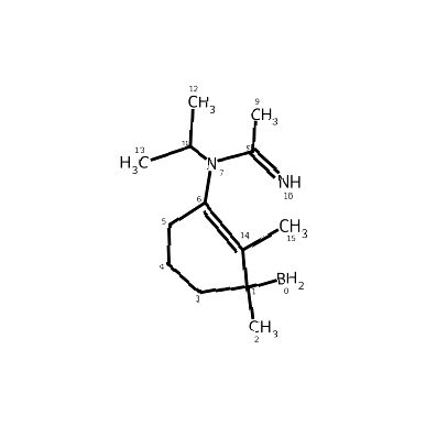 BC1(C)CCCC(N(C(C)=N)C(C)C)=C1C